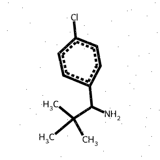 CC(C)(C)C(N)c1ccc(Cl)cc1